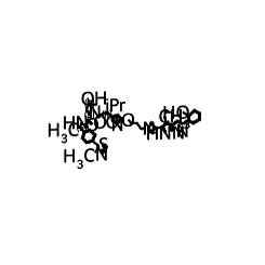 Cc1ncsc1-c1ccc([C@H](C)NC(=O)[C@@H]2C[C@@H](O)CN2C(=O)[C@@H](c2cc(OCCCN3CC(c4[nH]c5nnc(-c6ccccc6O)cc5c4C)C3)no2)C(C)C)cc1